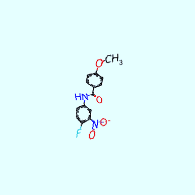 COc1ccc(C(=O)Nc2ccc(F)c([N+](=O)[O-])c2)cc1